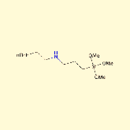 CCCCCCCCCCNCCC[Si](OC)(OC)OC